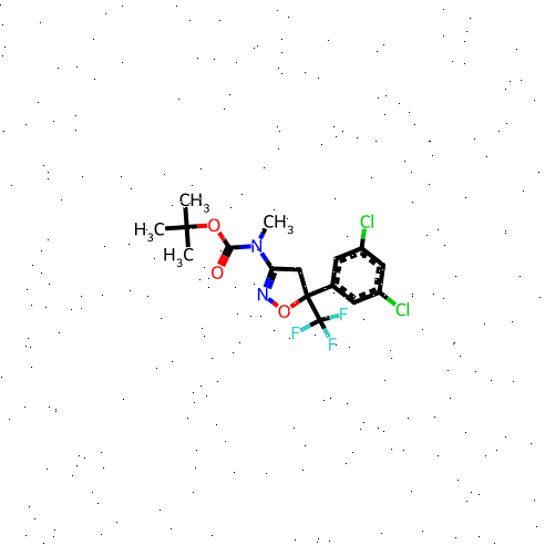 CN(C(=O)OC(C)(C)C)C1=NOC(c2cc(Cl)cc(Cl)c2)(C(F)(F)F)C1